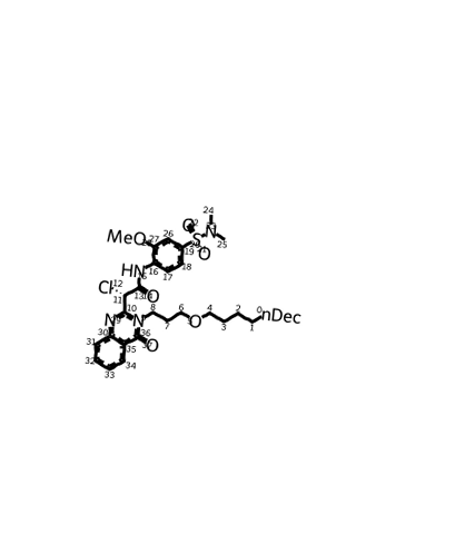 CCCCCCCCCCCCCCOCCCn1c([C@H](Cl)C(=O)Nc2ccc(S(=O)(=O)N(C)C)cc2OC)nc2ccccc2c1=O